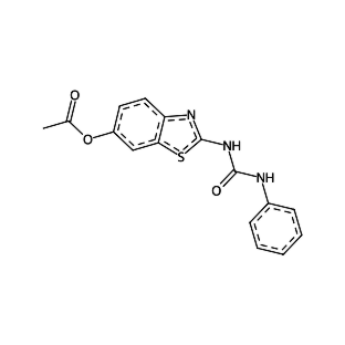 CC(=O)Oc1ccc2nc(NC(=O)Nc3ccccc3)sc2c1